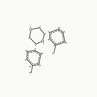 C1COCCO1.Cc1ccccc1.Cc1ccccc1